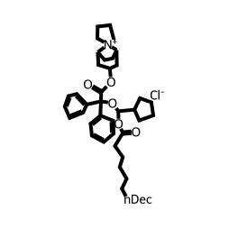 CCCCCCCCCCCCCCCC(=O)OC(OC(C(=O)OC1CC2CCC(C1)[N+]21CCCC1)(c1ccccc1)c1ccccc1)C1CCCC1.[Cl-]